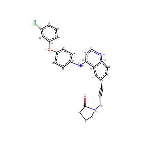 O=C1CCCN1CC#Cc1ccc2ncnc(Nc3ccc(Oc4cccc(Cl)c4)cc3)c2c1